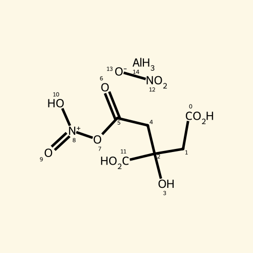 O=C(O)CC(O)(CC(=O)O[N+](=O)O)C(=O)O.O=[N+]([O-])[O-].[AlH3]